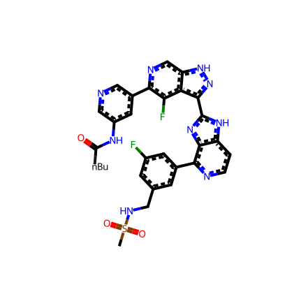 CCCCC(=O)Nc1cncc(-c2ncc3[nH]nc(-c4nc5c(-c6cc(F)cc(CNS(C)(=O)=O)c6)nccc5[nH]4)c3c2F)c1